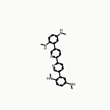 CNc1ccc(NC)c(-c2ccc(-c3ccc(-c4cc(NC)ccc4NC)cn3)nc2)c1